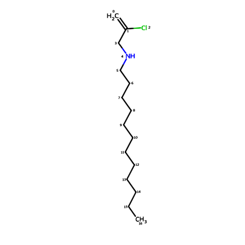 C=C(Cl)CNCCCCCCCCCCCC